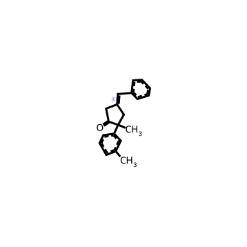 Cc1cccc(C2(C)C/C(=C\c3ccccc3)CC2=O)c1